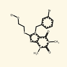 CCOCCSc1nc2c(c(=O)n(C)c(=O)n2C)n1Cc1cccc(Br)c1